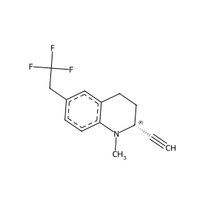 C#C[C@H]1CCc2cc(CC(F)(F)F)ccc2N1C